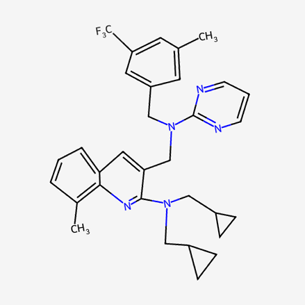 Cc1cc(CN(Cc2cc3cccc(C)c3nc2N(CC2CC2)CC2CC2)c2ncccn2)cc(C(F)(F)F)c1